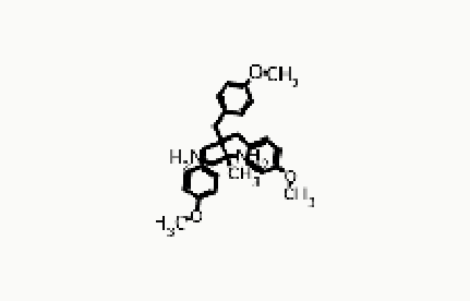 COc1ccc(CC(Cc2ccc(OC)cc2)(Cc2ccc(OC)cc2)C(C)(N)CN)cc1